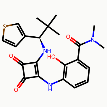 CN(C)C(=O)c1cccc(Nc2c(N[C@@H](c3ccsc3)C(C)(C)C)c(=O)c2=O)c1O